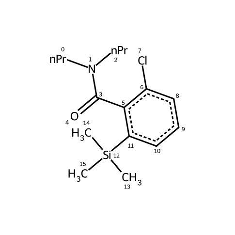 CCCN(CCC)C(=O)c1c(Cl)cccc1[Si](C)(C)C